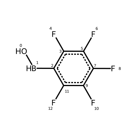 OBc1c(F)c(F)c(F)c(F)c1F